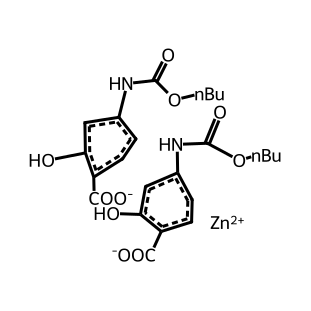 CCCCOC(=O)Nc1ccc(C(=O)[O-])c(O)c1.CCCCOC(=O)Nc1ccc(C(=O)[O-])c(O)c1.[Zn+2]